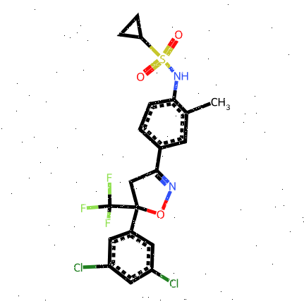 Cc1cc(C2=NOC(c3cc(Cl)cc(Cl)c3)(C(F)(F)F)C2)ccc1NS(=O)(=O)C1CC1